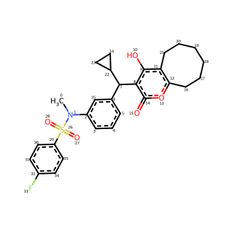 CN(c1cccc(C(c2c(O)c3c(oc2=O)CCCCCC3)C2CC2)c1)S(=O)(=O)c1ccc(F)cc1